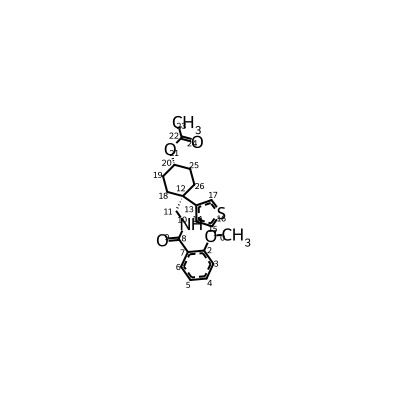 COc1ccccc1C(=O)NC[C@]1(c2ccsc2)CC[C@H](OC(C)=O)CC1